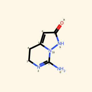 NC1=NCCc2cc(=O)[nH]n21